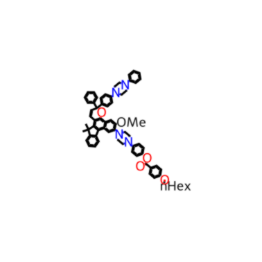 CCCCCCOc1ccc(C(=O)Oc2ccc(N3CCN(c4cc5c6c(c7c(c5cc4OC)OC(c4ccccc4)(c4ccc(N5CCN(c8ccccc8)CC5)cc4)C=C7)C(C)(C)c4ccccc4-6)CC3)cc2)cc1